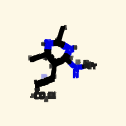 CCOC(=O)/C=C/c1c(C)nc(C)nc1NC(C)C